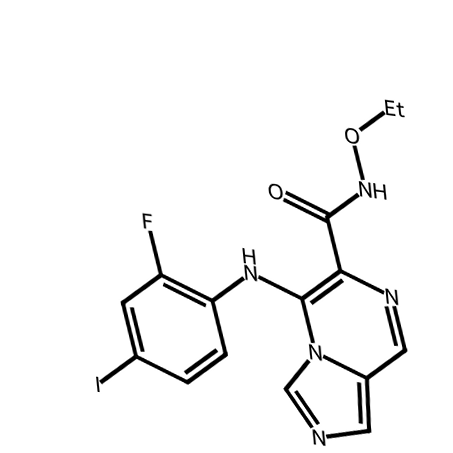 CCONC(=O)c1ncc2cncn2c1Nc1ccc(I)cc1F